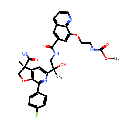 CC(C)(C)OC(=O)NCCOc1cc(C(=O)NC[C@](O)(c2cc3c(c(-c4ccc(F)cc4)n2)OC[C@]3(C)C(N)=O)C(F)(F)F)cc2cccnc12